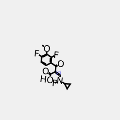 COc1c(F)ccc(C(=O)/C(=C/N(F)C2CC2)C(=O)O)c1F